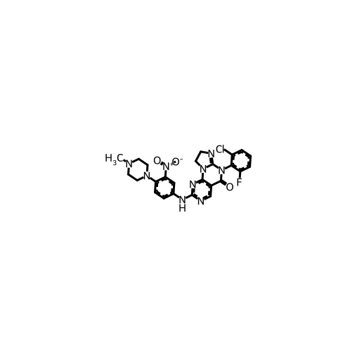 CN1CCN(c2ccc(Nc3ncc4c(n3)N3CCN=C3N(c3c(F)cccc3Cl)C4=O)cc2[N+](=O)[O-])CC1